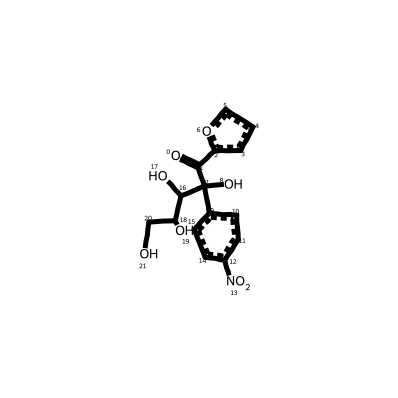 O=C(c1ccco1)C(O)(c1ccc([N+](=O)[O-])cc1)C(O)C(O)CO